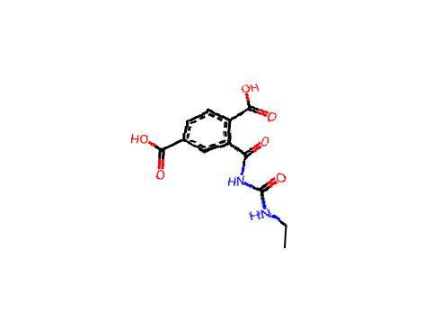 CCNC(=O)NC(=O)c1cc(C(=O)O)ccc1C(=O)O